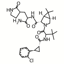 CC(C)(C)C(NC(=O)[C@@H]1C[C@H]1c1ccccc1Cl)C(=O)N1C[C@H]2[C@@H]([C@H]1C(=O)NC(CC1CCNC1=O)C(N)=O)C2(C)C